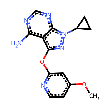 COc1ccnc(Oc2nn(C3CC3)c3ncnc(N)c23)c1